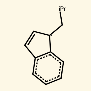 CC(C)C[C]1C=Cc2ccccc21